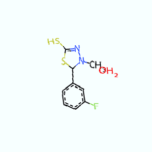 CN1N=C(S)SC1c1cccc(F)c1.O